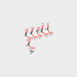 O=CO.O=CO.O=CO.O=CO.O=CO.O=CO.[Na]